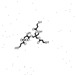 CCCC(CS(=O)(=O)C(=O)CCS)C(=O)OCC(CO)(COC(=O)CCS)COC(=O)CCS